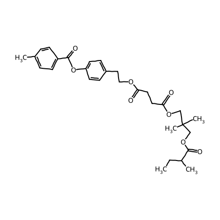 CCC(C)C(=O)OCC(C)(C)COC(=O)CCC(=O)OCCc1ccc(OC(=O)c2ccc(C)cc2)cc1